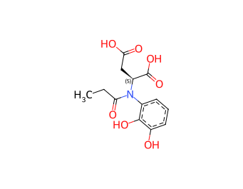 CCC(=O)N(c1cccc(O)c1O)[C@@H](CC(=O)O)C(=O)O